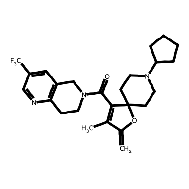 C=C1OC2(CCN(C3CCCC3)CC2)C(C(=O)N2CCc3ncc(C(F)(F)F)cc3C2)=C1C